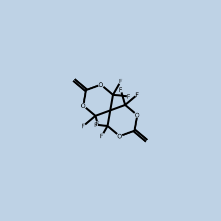 C=C1OC(F)(F)C2(C(F)(F)O1)C(F)(F)OC(=C)OC2(F)F